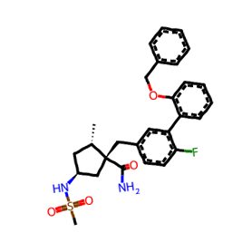 C[C@H]1C[C@H](NS(C)(=O)=O)C[C@@]1(Cc1ccc(F)c(-c2ccccc2OCc2ccccc2)c1)C(N)=O